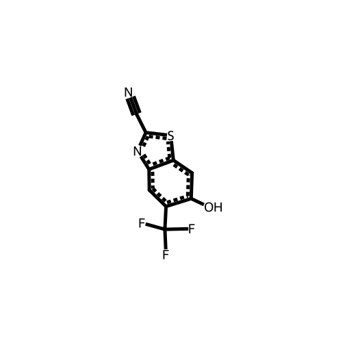 N#Cc1nc2cc(C(F)(F)F)c(O)cc2s1